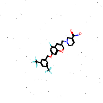 O=NC(=O)C1=CCCN(CC2=Cc3c(F)cc(OCc4cc(C(F)(F)F)cc(C(F)(F)F)c4)cc3OC2)C1